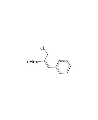 CCCCCCC(=Cc1ccccc1)CCl